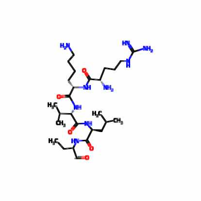 CCC([C]=O)NC(=O)[C@H](CC(C)C)NC(=O)[C@@H](NC(=O)[C@H](CCCCN)NC(=O)[C@@H](N)CCCNC(=N)N)C(C)C